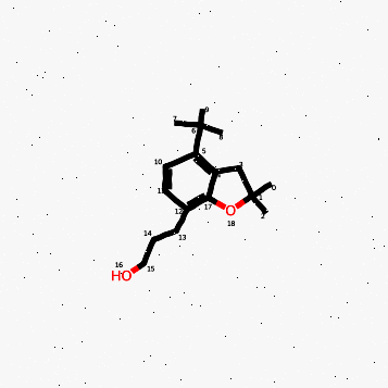 CC1(C)Cc2c(C(C)(C)C)ccc(CCCO)c2O1